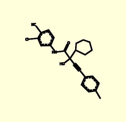 Cc1ccc(C#CC(O)(C(=O)Nc2ccc(C#N)c(Cl)c2)C2CCCCC2)cc1